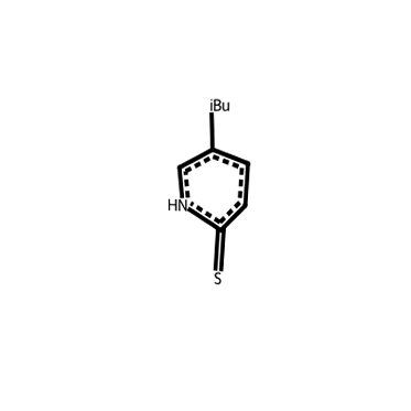 CCC(C)c1ccc(=S)[nH]c1